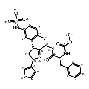 COC(=O)N[C@@H](Cc1ccccc1)C(=O)N[C@@H](Cc1ccc(NS(=O)(=O)O)cc1)C1=NC(c2ccsc2)CS1